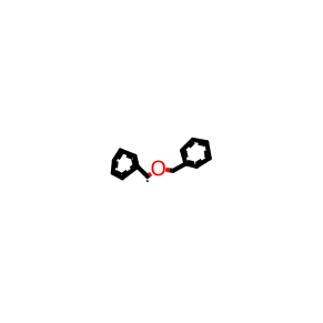 [CH](OCc1ccccc1)c1ccccc1